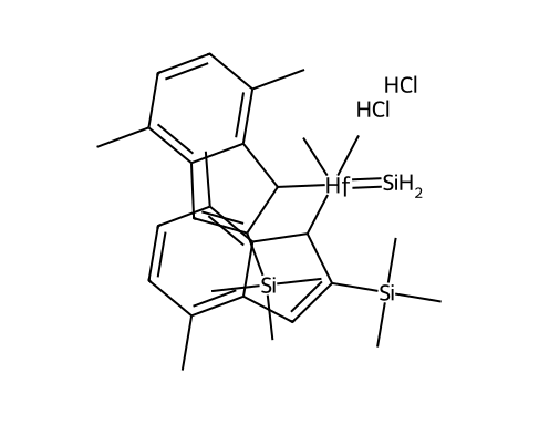 Cc1ccc(C)c2c1C=C([Si](C)(C)C)[CH]2[Hf]([CH3])([CH3])(=[SiH2])[CH]1C([Si](C)(C)C)=Cc2c(C)ccc(C)c21.Cl.Cl